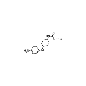 CC(C)(C)OC(=O)NC1CCC(Nc2ccc(N)cc2)CC1